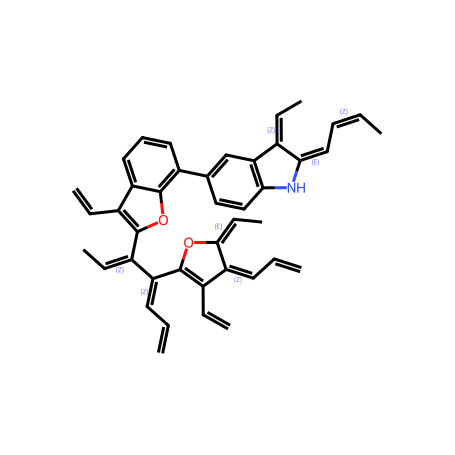 C=C/C=C(/C(=C/C)c1oc2c(-c3ccc4[nH]c(=C/C=C\C)/c(=C\C)c4c3)cccc2c1C=C)c1oc(=C/C)/c(=C\C=C)c1C=C